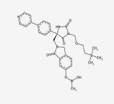 CB(O)Oc1ccc2c(c1)C(=O)N(C[C@@]1(c3ccc(-c4ccncc4)cc3)NC(=O)N(COCC[Si](C)(C)C)C1=O)C2